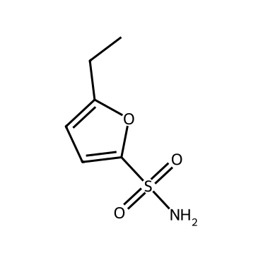 CCc1ccc(S(N)(=O)=O)o1